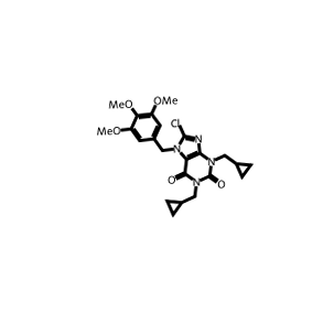 COc1cc(Cn2c(Cl)nc3c2c(=O)n(CC2CC2)c(=O)n3CC2CC2)cc(OC)c1OC